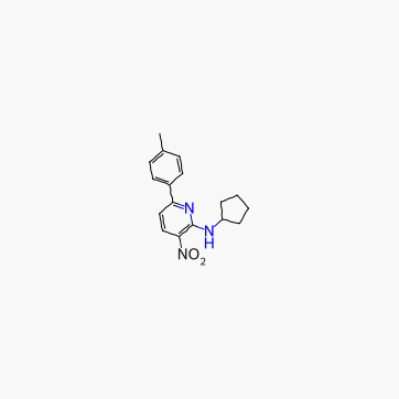 Cc1ccc(-c2ccc([N+](=O)[O-])c(NC3CCCC3)n2)cc1